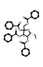 O=C(OCC1(OC(=O)c2ccccc2)O[C@H](CF)[C@@H](OC(=O)c2ccccc2)[C@H]1OC(=O)c1ccccc1)c1ccccc1